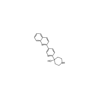 OC1(c2ccc(-c3c[c]c4ccccc4n3)cn2)CCNCC1